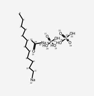 CCCCCCCCCCC[CH2][Na].C[C](=O)[Na].O=P(O)(O)O.O=S(=O)(O)O